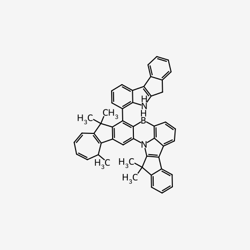 CC1C=CC=CC2=C1c1cc3c(c(-c4cccc5c6c([nH]c45)Cc4ccccc4-6)c1C2(C)C)Bc1cccc2c4c(n-3c12)C(C)(C)c1ccccc1-4